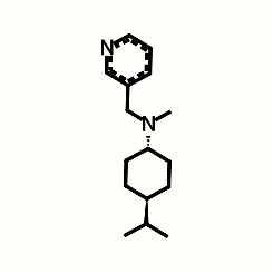 CC(C)[C@H]1CC[C@H](N(C)Cc2cccnc2)CC1